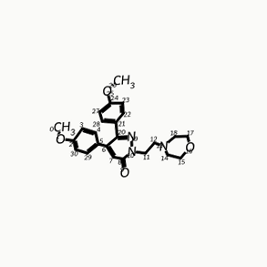 COc1ccc(-c2cc(=O)n(CCN3CCOCC3)nc2-c2ccc(OC)cc2)cc1